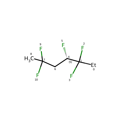 [CH2]CC(F)(F)[C@@H](F)CC(C)(F)F